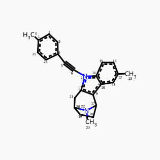 Cc1ccc(C#Cn2c3c(c4cc(C)ccc42)C2CCC(C3)N2C)cc1